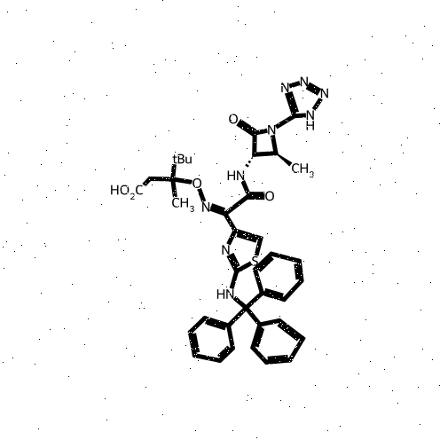 C[C@H]1[C@H](NC(=O)C(=NOC(C)(CC(=O)O)C(C)(C)C)c2csc(NC(c3ccccc3)(c3ccccc3)c3ccccc3)n2)C(=O)N1c1nnn[nH]1